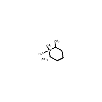 CC1CCCC[Si]1(C)C.[AlH3]